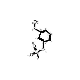 CCSc1cccc(OS(C)(=O)=O)c1